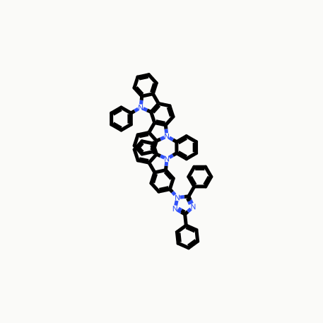 c1ccc(-c2nc(-c3ccccc3)n(-c3ccc4c5ccccc5n(-c5ccccc5-n5c6ccccc6c6c5ccc5c7ccccc7n(-c7ccccc7)c56)c4c3)n2)cc1